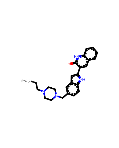 CCOC(=O)CCN1CCN(Cc2ccc3[nH]c(-c4cc5ccccc5[nH]c4=O)cc3c2)CC1